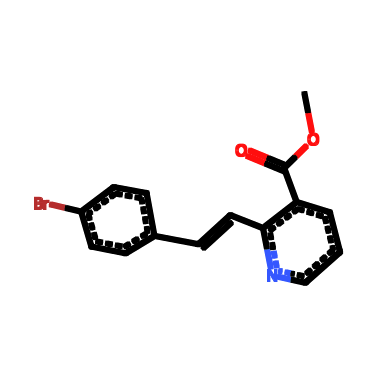 COC(=O)c1cccnc1/C=C/c1ccc(Br)cc1